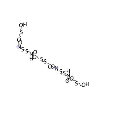 O=C(NCSCSC/N=C\OOCCSCCO)OCCSCSCCOO/C=N/CSCSCNC(=O)OCCSCCO